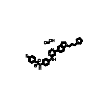 O=CO.O=S(=O)(Nc1ccc(Nc2cc(-c3ccc4c(ccn4CCCN4CCCC4)c3)ncn2)cc1)c1ccc(F)cc1